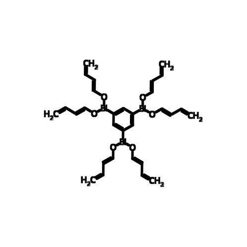 C=CC=C[O][Bi]([O]C=CC=C)[c]1c[c]([Bi]([O]C=CC=C)[O]C=CC=C)c[c]([Bi]([O]C=CC=C)[O]C=CC=C)c1